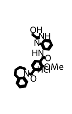 COc1cc(C(=O)N2CCCCc3ccccc32)ccc1C(=O)Nc1cccc2[nH]c(CO)nc12.Cl